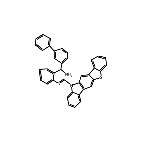 NC(c1cccc(-c2ccccc2)c1)c1ccccc1/N=C/n1c2ccccc2c2cc3sc4ccccc4c3cc21